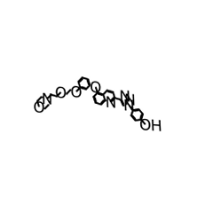 Oc1ccc(-n2cc(-c3ccc4c(Oc5cccc(OCCOCCN6CCOCC6)c5)cccc4n3)nn2)cc1